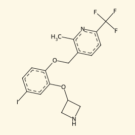 Cc1nc(C(F)(F)F)ccc1COc1ccc(I)cc1OC1CNC1